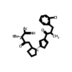 CC(=O)C(=N)[C@H](C(=O)CC1CCC[C@H]1C1=CC(C(=O)C(C)Cc2ccccc2Cl)=CC1)C(C)(C)C